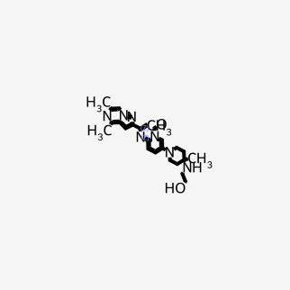 C/C=C(\N=c1\ccc(N2CCC(C)(NCCO)CC2)cn1C=O)c1cc2c(C)nc(C)cn2n1